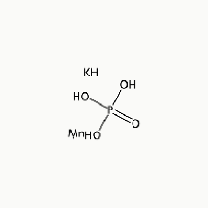 O=P(O)(O)O.[KH].[Mn]